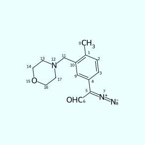 Cc1ccc(C(C=O)=[N+]=[N-])cc1CN1CCOCC1